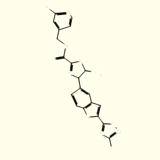 Cc1noc(-c2cc3cc(C4N=C(C(=O)NCc5ccnc(N)c5)NC4C)ccc3[nH]2)n1